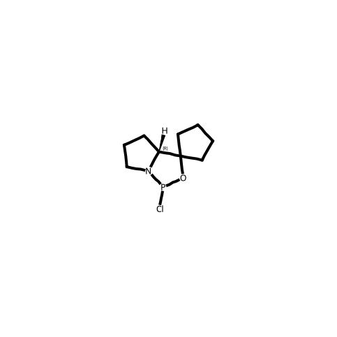 ClP1OC2(CCCC2)[C@H]2CCCN21